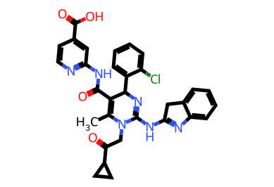 CC1=C(C(=O)Nc2cc(C(=O)O)ccn2)C(c2ccccc2Cl)N=C(NC2=Nc3ccccc3C2)N1CC(=O)C1CC1